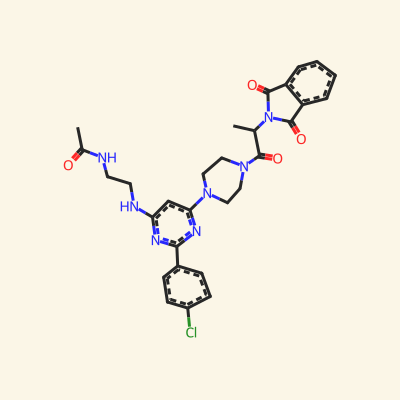 CC(=O)NCCNc1cc(N2CCN(C(=O)C(C)N3C(=O)c4ccccc4C3=O)CC2)nc(-c2ccc(Cl)cc2)n1